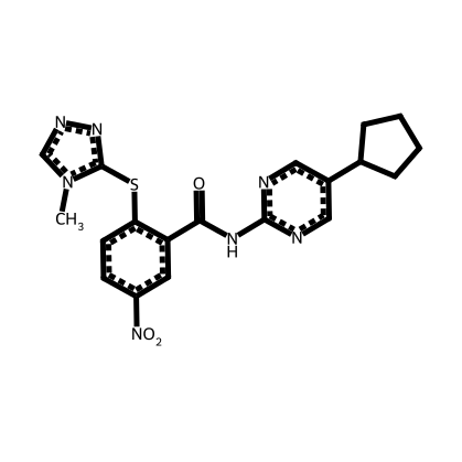 Cn1cnnc1Sc1ccc([N+](=O)[O-])cc1C(=O)Nc1ncc(C2CCCC2)cn1